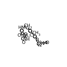 CC(COc1ccc(C(C)(C)c2ccc(OCc3ccnc(N4CC5(COC5)C4)n3)cc2)cc1)Nc1ccc2c(c1)C(=O)N(C1CCC(=O)NC1=O)C2=O